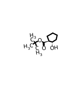 CC(C)(C)OC(=O)[C@H]1CCCC[C@@H]1O